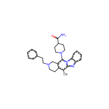 N#Cc1c2c(c(N3CCC(C(N)=O)CC3)n3c1nc1ccccc13)CN(CCc1ccccc1)CC2